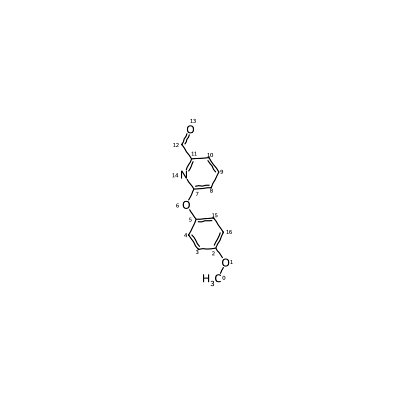 COc1ccc(Oc2cccc(C=O)n2)cc1